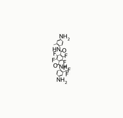 Cc1cc(N)ccc1NC(=O)c1c(F)c(F)c(C(=O)Nc2ccc(N)cc2C(F)(F)F)c(F)c1F